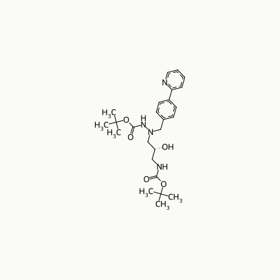 CC(C)(C)OC(=O)NC[C@@H](O)CN(Cc1ccc(-c2ccccn2)cc1)NC(=O)OC(C)(C)C